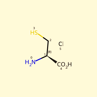 N[C@@H](CS)C(=O)O.[C]